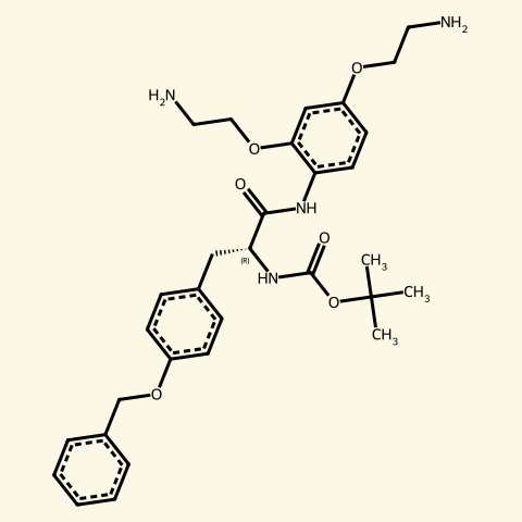 CC(C)(C)OC(=O)N[C@H](Cc1ccc(OCc2ccccc2)cc1)C(=O)Nc1ccc(OCCN)cc1OCCN